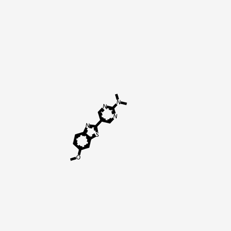 COc1ccc2nc(-c3cnc(N(C)C)nc3)sc2c1